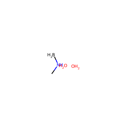 BNC.O.O